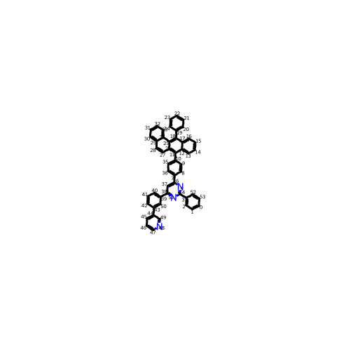 c1ccc(-c2nc(-c3ccc(-c4c5ccccc5c(-c5ccccc5)c5c4ccc4ccccc45)cc3)cc(-c3cccc(-c4cccnc4)c3)n2)cc1